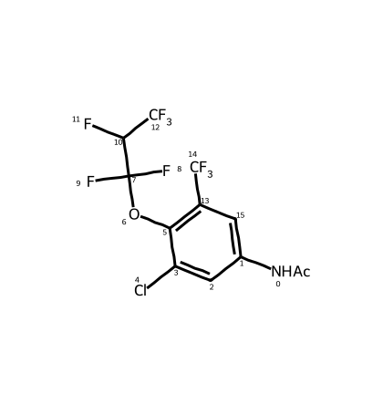 CC(=O)Nc1cc(Cl)c(OC(F)(F)C(F)C(F)(F)F)c(C(F)(F)F)c1